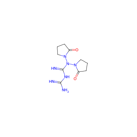 N=C(N)NC(=N)N(N1CCCC1=O)N1CCCC1=O